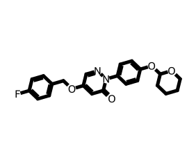 O=c1cc(OCc2ccc(F)cc2)cnn1-c1ccc(OC2CCCCO2)cc1